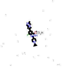 CC(=O)O.Cc1cn2cc(-c3cc(F)c4nc(C5CCN(C6CC6)CC5)[nH]c(=O)c4c3)cc2cn1